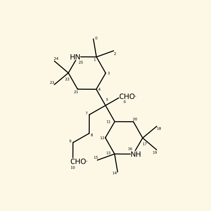 CC1(C)CC(C([C]=O)(CCC[C]=O)C2CC(C)(C)NC(C)(C)C2)CC(C)(C)N1